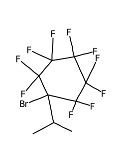 CC(C)C1(Br)C(F)(F)C(F)(F)C(F)(F)C(F)(F)C1(F)F